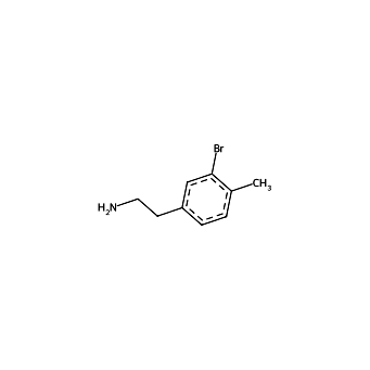 Cc1ccc(CCN)cc1Br